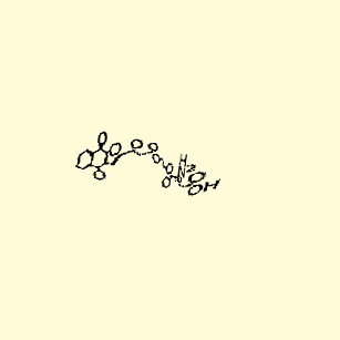 N[C@@H](CC(=O)O)C(=O)OCCOC(=O)CC(=O)c1cc2c(o1)C(=O)c1ccccc1C2=O